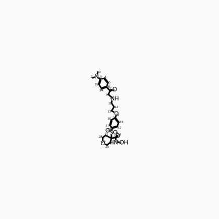 CN(C)c1ccc(C(=O)CNCCCOc2ccc(S(=O)(=O)C3(C(=O)NO)CCOCC3)cc2)cc1